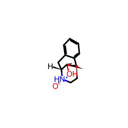 [O-][NH+]1CC[C@]23CCCC[C@@]2(O)[C@H]1Cc1ccccc13